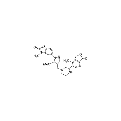 COc1c(CN2CCNC(c3ccc4c(c3C)COC4=O)C2)cnn1-c1ccc2oc(=O)n(C)c2c1